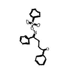 O=C(CCC(=NOS(=O)(=O)c1ccccc1)c1ccccc1)c1ccccc1